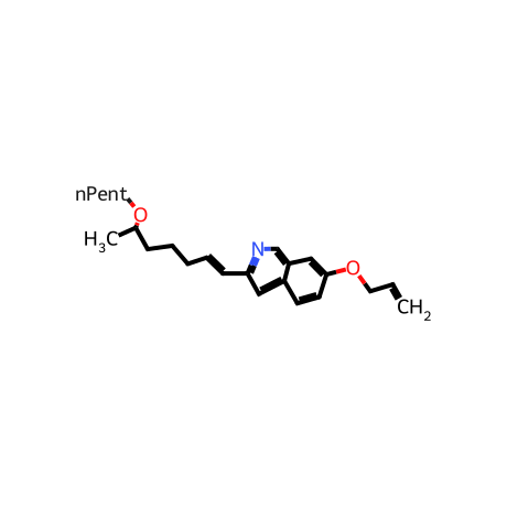 C=CCOc1ccc2cc(/C=C/CCCC(C)OCCCCC)ncc2c1